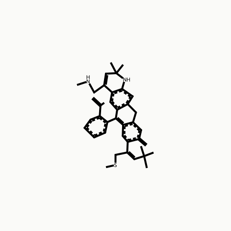 C=C(C)c1ccccc1C1=c2cc(/C(=C\C(C)(C)C)CSC)c(=C)cc2Cc2cc3c(cc21)C(CNC)=CC(C)(C)N3